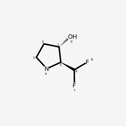 O[C@H]1CC[N][C@@H]1C(F)F